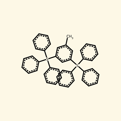 Cc1cc(S(c2ccccc2)(c2ccccc2)c2ccccc2)cc(S(c2ccccc2)(c2ccccc2)c2ccccc2)c1